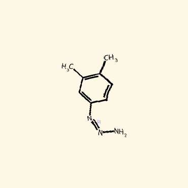 Cc1ccc(/N=N\N)cc1C